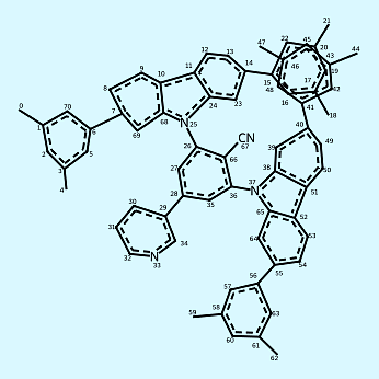 Cc1cc(C)cc(-c2ccc3c4ccc(-c5cc(C)cc(C)c5)cc4n(-c4cc(-c5cccnc5)cc(-n5c6cc(-c7cc(C)cc(C)c7)ccc6c6ccc(-c7cc(C)cc(C)c7)cc65)c4C#N)c3c2)c1